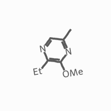 CCc1ncc(C)nc1OC